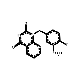 O=C(O)c1cc(Cn2c(=O)[nH]c(=O)c3cccnc32)ccc1F